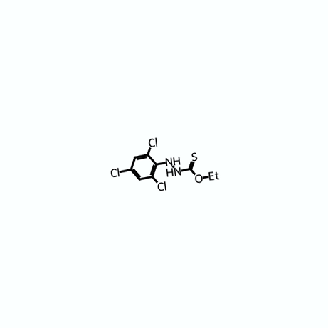 CCOC(=S)NNc1c(Cl)cc(Cl)cc1Cl